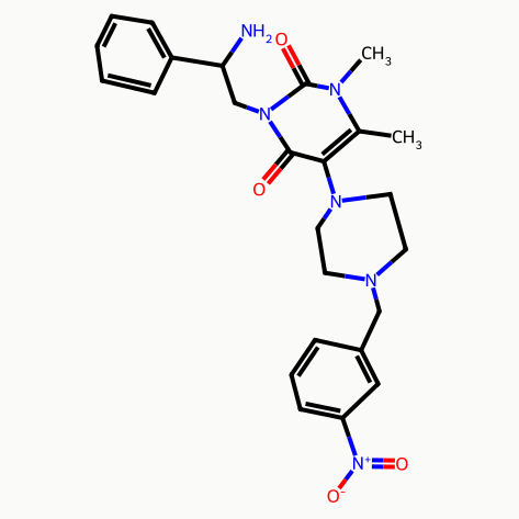 Cc1c(N2CCN(Cc3cccc([N+](=O)[O-])c3)CC2)c(=O)n(CC(N)c2ccccc2)c(=O)n1C